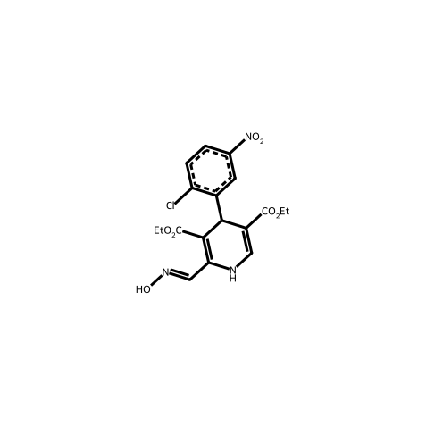 CCOC(=O)C1=CNC(C=NO)=C(C(=O)OCC)C1c1cc([N+](=O)[O-])ccc1Cl